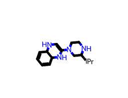 CC(C)C1CN(C2=CNC3C=CC=CC3N2)CCN1